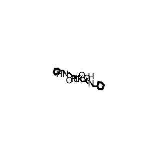 O=C(CNCc1ccccc1)CO[PH](=O)CC(=O)CNCc1ccccc1